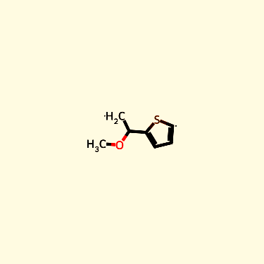 [CH2]C(OC)c1cc[c]s1